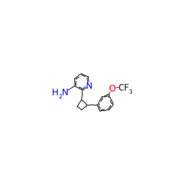 Nc1cccnc1C1CC[C]1c1cccc(OC(F)(F)F)c1